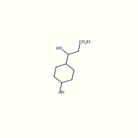 CCCC1CCC(C(O)CC(=O)OCC)CC1